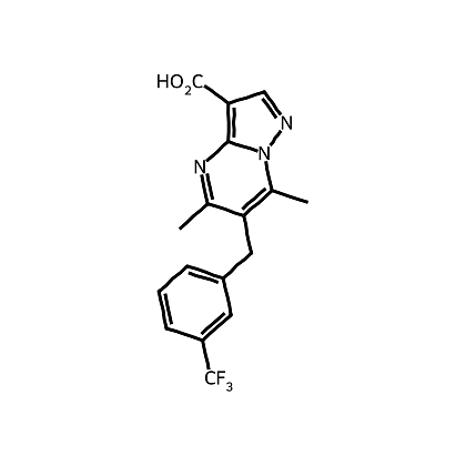 Cc1nc2c(C(=O)O)cnn2c(C)c1Cc1cccc(C(F)(F)F)c1